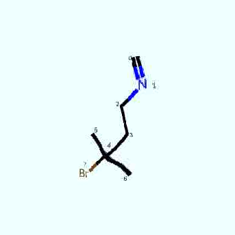 C=NCCC(C)(C)Br